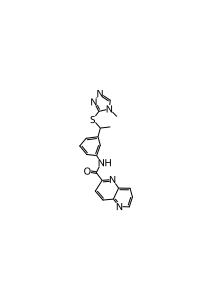 CC(Sc1nncn1C)c1cccc(NC(=O)c2ccc3ncccc3n2)c1